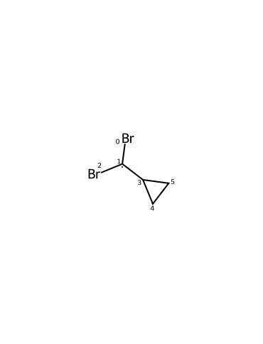 Br[C](Br)C1CC1